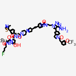 Cc1ncsc1-c1ccc([C@H](CC(=O)N2CCC(N3CCC(C#Cc4ccc(C(=O)NCCCn5cc(-c6ccc7c(c6)CCN7C(=O)Cc6cccc(OC(F)(F)F)c6)c6c(N)ncnc65)cc4)CC3)CC2)NC(=O)[C@@H]2C[C@@H](O)CN2C(=O)[C@@H](NC(=O)CCCCF)C(C)(C)C)cc1